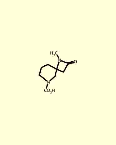 CN1C(=O)CC12CCCN(C(=O)O)C2